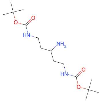 CC(C)(C)OC(=O)NCCC(N)CCNC(=O)OC(C)(C)C